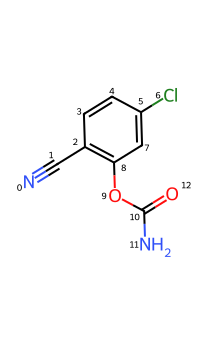 N#Cc1ccc(Cl)cc1OC(N)=O